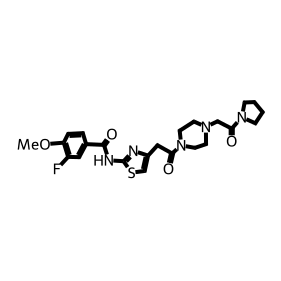 COc1ccc(C(=O)Nc2nc(CC(=O)N3CCN(CC(=O)N4CCCC4)CC3)cs2)cc1F